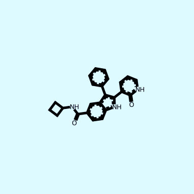 O=C(NC1CCC1)c1ccc2[nH]c(-c3ccc[nH]c3=O)c(-c3ccccc3)c2c1